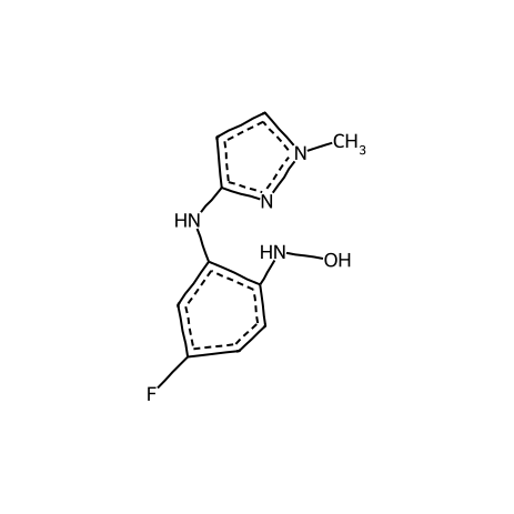 Cn1ccc(Nc2cc(F)ccc2NO)n1